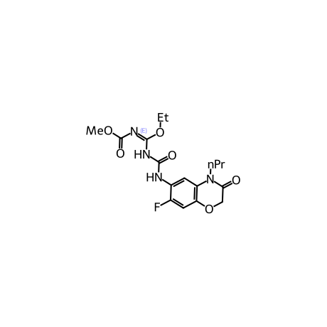 CCCN1C(=O)COc2cc(F)c(NC(=O)N/C(=N\C(=O)OC)OCC)cc21